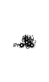 CC(C)c1ccc(Nc2cc(S(=O)(=O)[O-])c(N)c3c2C(=O)c2ccccc2C3=O)cc1.[Na+]